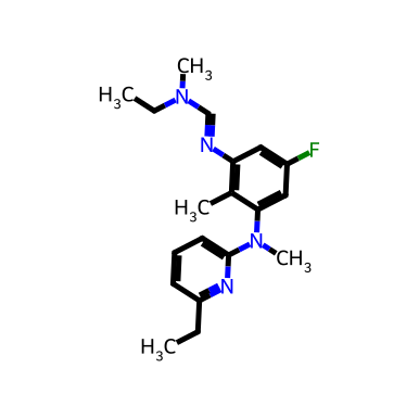 CCc1cccc(N(C)c2cc(F)cc(N=CN(C)CC)c2C)n1